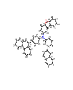 c1cc(-c2ccc3ccccc3c2)cc(N(c2ccc(-c3cc4ccccc4c4ccccc34)cc2)c2ccc3oc4ccccc4c3c2)c1